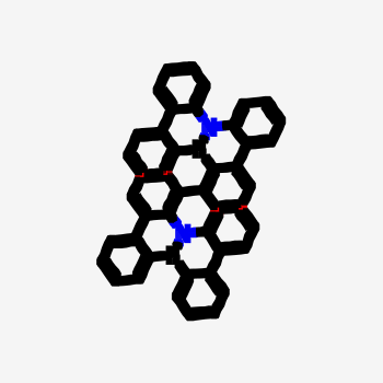 c1ccc2c(c1)B1c3c(cccc3-c3cccc4c3N3B(c5ccccc5-c5ccccc53)c3ccccc3-4)-c3ccccc3N1c1ccccc1-2